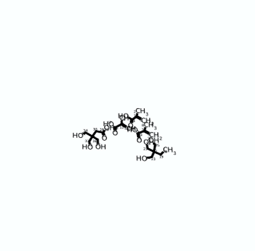 C=C(C)C(=O)O.C=C(C)C(=O)O.C=C(C)C(=O)O.CCC(CO)(CO)CO.O=C(O)CC(CO)(CO)CO